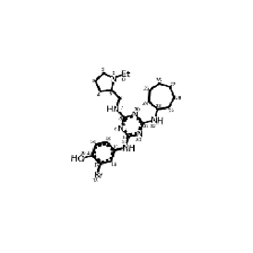 CCN1CCCC1CNc1nc(Nc2ccc(O)c(Br)c2)nc(NC2CCCCCC2)n1